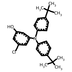 CC(C)(C)c1ccc(N(c2ccc(C(C)(C)C)cc2)c2cc(O)cc(Cl)c2)cc1